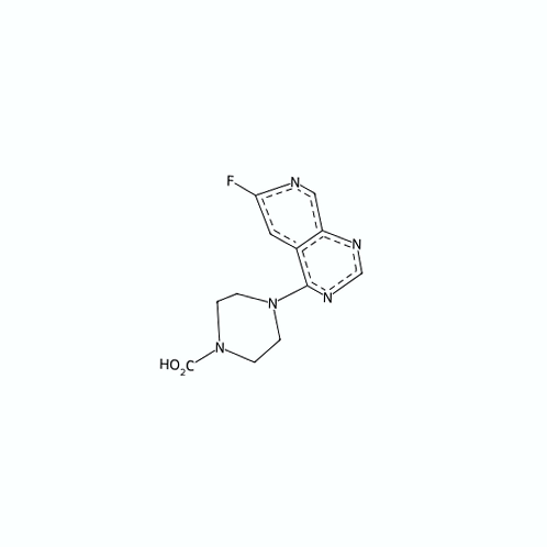 O=C(O)N1CCN(c2ncnc3cnc(F)cc23)CC1